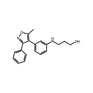 Cc1onc(-c2ccccc2)c1-c1cccc(NCCCO)c1